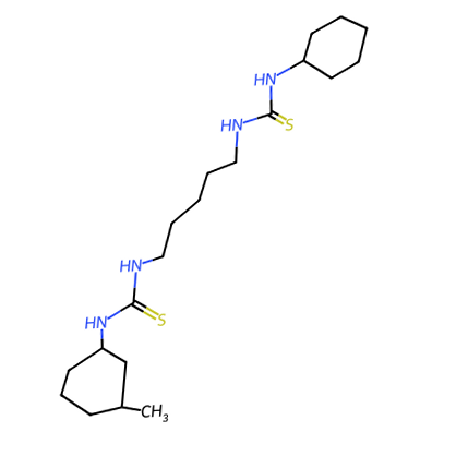 CC1CCCC(NC(=S)NCCCCCNC(=S)NC2CCCCC2)C1